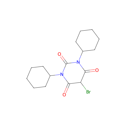 O=C1C(Br)C(=O)N(C2CCCCC2)C(=O)N1C1CCCCC1